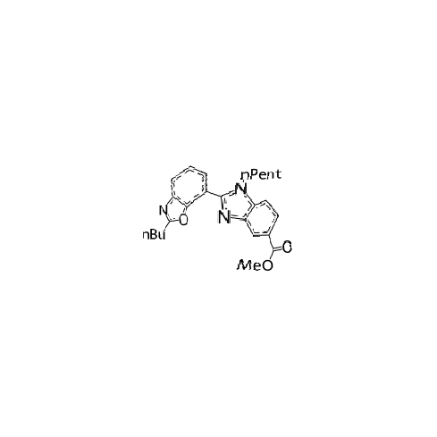 CCCCCn1c(-c2cccc3nc(CCCC)oc23)nc2cc(C(=O)OC)ccc21